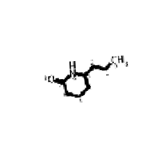 CCCC1CCCC(=O)N1